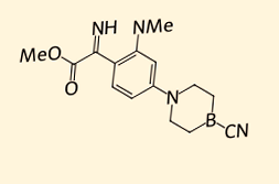 CNc1cc(N2CCB(C#N)CC2)ccc1C(=N)C(=O)OC